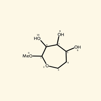 COC1OCCC(O)C(O)C1O